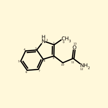 Cc1[nH]c2ccccc2c1CC(N)=O